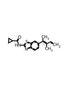 C=C/C(C)=C(\C)c1ccc2nc(NC(=O)C3CC3)sc2c1